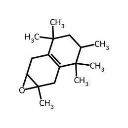 CC1CC(C)(C)C2=C(CC3(C)OC3C2)C1(C)C